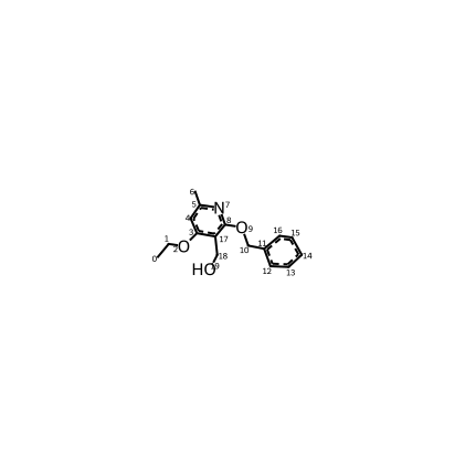 CCOc1cc(C)nc(OCc2ccccc2)c1CO